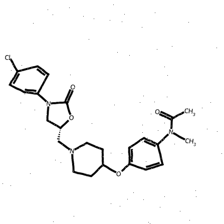 CC(=O)N(C)c1ccc(OC2CCN(C[C@@H]3CN(c4ccc(Cl)cc4)C(=O)O3)CC2)cc1